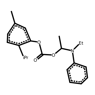 CCN(c1ccccc1)C(C)OC(=O)Oc1cc(C)ccc1C(C)C